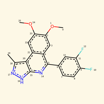 COc1cc2c(-c3ccc(F)c(F)c3)nc3[nH]nc(C)c3c2cc1OC